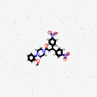 COc1ccccc1N1CCN(C(=O)CC(c2ccc([N+](=O)[O-])cc2)c2ccc([N+](=O)[O-])cc2)CC1